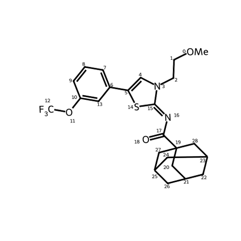 COCCn1cc(-c2cccc(OC(F)(F)F)c2)sc1=NC(=O)C12CC3CC(CC(C3)C1)C2